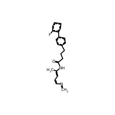 C=N/C=C\C=C(/C)NC(=O)CCCc1ccc(-c2ccccc2F)cc1